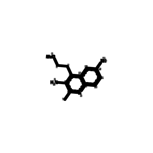 COCCc1c(N)c(C)nc2ccc([NH])cc12